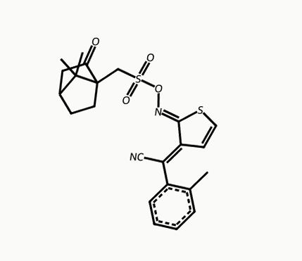 Cc1ccccc1/C(C#N)=C1\C=CS\C1=N/OS(=O)(=O)CC12CCC(CC1=O)C2(C)C